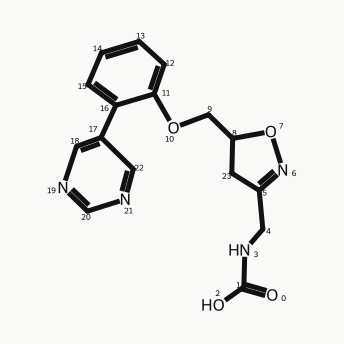 O=C(O)NCC1=NOC(COc2ccccc2-c2cncnc2)C1